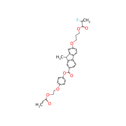 C=CC(=O)OCCOc1ccc(OC(=O)c2ccc3c(c2)C(C)c2cc(OCCCOC(=O)C(=C)F)ccc2-3)cc1